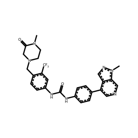 CN1CCN(Cc2ccc(NC(=O)Nc3ccc(-c4cncc5c4cnn5C)cc3)cc2C(F)(F)F)CC1=O